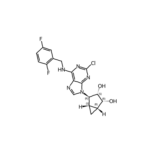 O[C@@H]1[C@H](O)[C@@H]2C[C@@H]2[C@H]1n1cnc2c(NCc3cc(F)ccc3F)nc(Cl)nc21